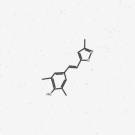 Cc1cc(C=Cc2cc(C)c(O)c(C)c2)on1